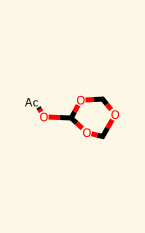 CC(=O)OC1OCOCO1